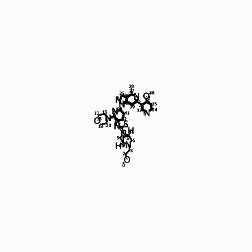 COCCN1C[C@@H]2C[C@H]1CN2c1nc2c(N3CCOCC3)nc(-n3ncc4c(C)nc(-c5cnccc5OC)cc43)cc2s1